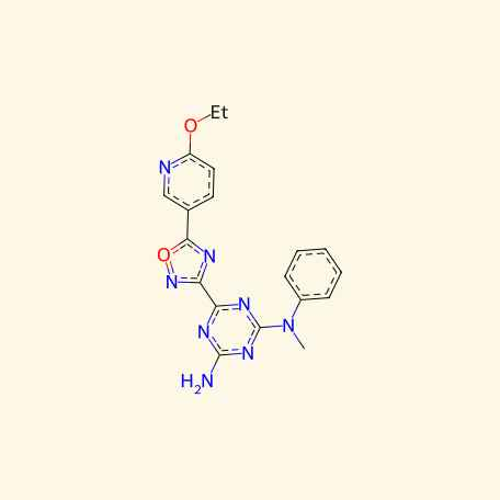 CCOc1ccc(-c2nc(-c3nc(N)nc(N(C)c4ccccc4)n3)no2)cn1